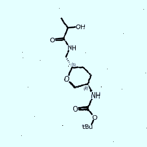 CC(O)C(=O)NC[C@@H]1CC[C@@H](NC(=O)OC(C)(C)C)CO1